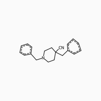 N#CC1(Cc2ccccc2)CCN(Cc2ccccc2)CC1